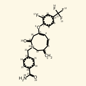 C=C1/C=C\C=C(\Oc2ccc(C(F)(F)F)cc2F)CC(=O)N(Cc2ccc(C(N)=O)cc2)C1